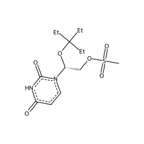 CCC(CC)(CC)O[C@H](COS(C)(=O)=O)n1ccc(=O)[nH]c1=O